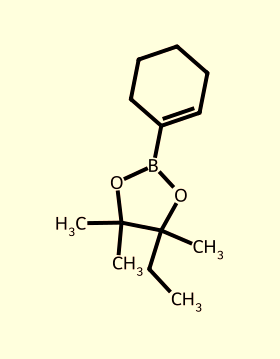 CCC1(C)OB(C2=CCCCC2)OC1(C)C